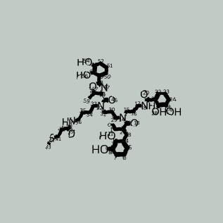 CCC(Cc1cccc(O)c1O)C(=O)N(CCCNC(=O)c1cccc(O)c1O)CCCN(CCCCNC(=O)CCSC)C(=O)[C@H]1N=C(c2cccc(O)c2O)OC1C